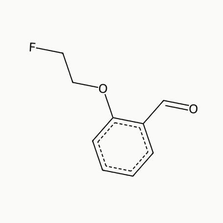 O=Cc1ccccc1OCCF